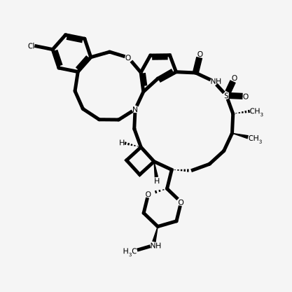 CN[C@H]1CO[C@H]([C@H]2CCC[C@H](C)[C@@H](C)S(=O)(=O)NC(=O)c3ccc4c(c3)N(CCCCc3cc(Cl)ccc3CO4)C[C@@H]3CC[C@H]32)OC1